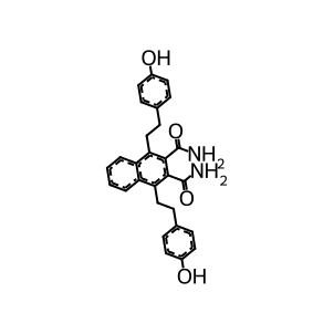 NC(=O)c1c(C(N)=O)c(CCc2ccc(O)cc2)c2ccccc2c1CCc1ccc(O)cc1